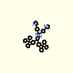 c1ccc(C2(c3ccccc3)c3ccccc3-c3ccc(-c4cc5nc(-c6ccc(-c7ccccn7)cc6)c(-c6ccc(-c7ccccn7)cc6)nc5cc4-c4ccc5c(c4)C(c4ccccc4)(c4ccccc4)c4ccccc4-5)cc32)cc1